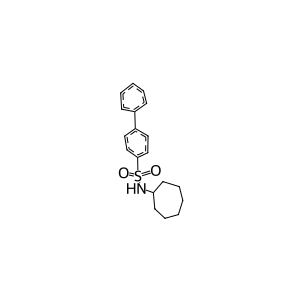 O=S(=O)(NC1CCCCCC1)c1ccc(-c2ccccc2)cc1